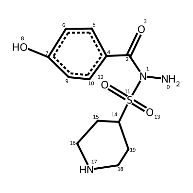 NN(C(=O)c1ccc(O)cc1)S(=O)(=O)C1CCNCC1